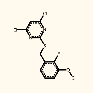 COc1cccc(CSc2nc(Cl)cc(Cl)n2)c1F